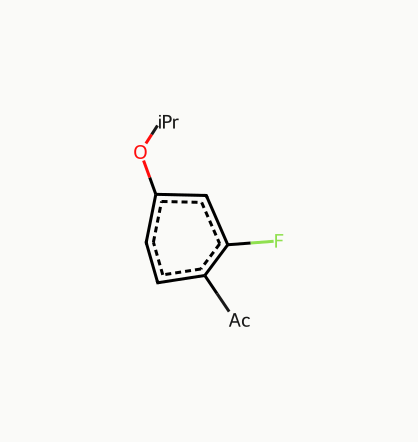 CC(=O)c1ccc(OC(C)C)cc1F